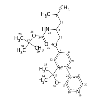 CC(C)CC(COc1ccc2c(c1)C(C)(C)Oc1cnccc1-2)NC(=O)OC(C)(C)C